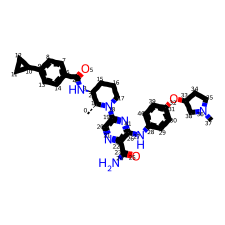 C[C@@H]1[C@H](NC(=O)c2ccc(C3CC3)cc2)CCCN1c1cnc(C(N)=O)c(Nc2ccc(OC3CCN(C)C3)cc2)n1